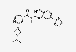 CN(C)C1CN(c2cc(C(=O)Nc3cc4cc(-c5nncs5)ccc4cn3)ccn2)C1